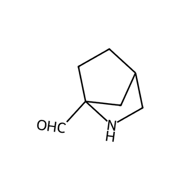 O=CC12CCC(CN1)C2